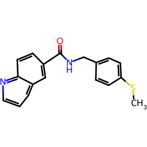 CSc1ccc(CNC(=O)c2ccc3ncccc3c2)cc1